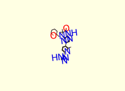 Cc1nc(-c2nnc[nH]2)ccc1-c1cnc2c(n1)N(CC1CCCCO1)C(C)(C)C(=O)N2